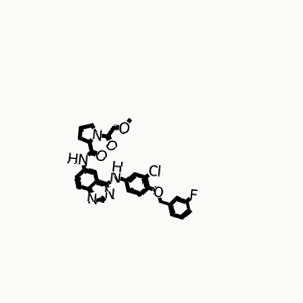 COCC(=O)N1CCCC1C(=O)Nc1ccc2ncnc(Nc3ccc(OCc4cccc(F)c4)c(Cl)c3)c2c1